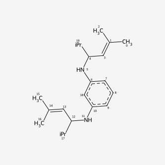 CC(C)=CC(Nc1cccc(NC(C=C(C)C)C(C)C)c1)C(C)C